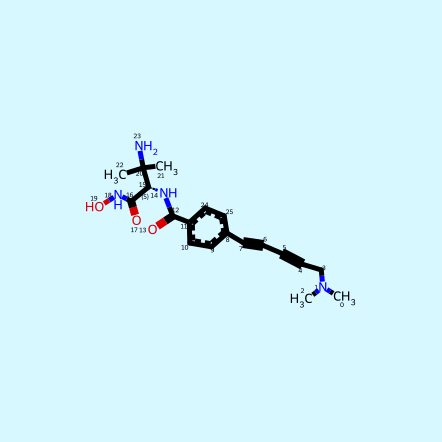 CN(C)CC#CC#Cc1ccc(C(=O)N[C@H](C(=O)NO)C(C)(C)N)cc1